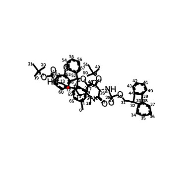 Cc1ccc(C(OC(=O)[C@H](CCCCNC(=O)OC(C)(C)C)N(C)C(=O)[C@@H](NC(=O)OCC2c3ccccc3-c3ccccc32)[C@@H](C)OC(C)(C)C)(c2ccccc2)c2ccccc2Cl)cc1